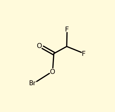 O=C(OBr)C(F)F